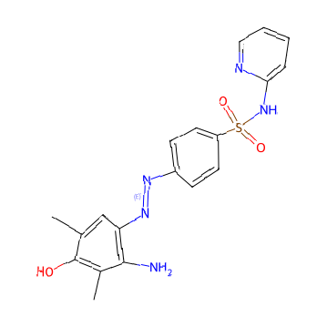 Cc1cc(/N=N/c2ccc(S(=O)(=O)Nc3ccccn3)cc2)c(N)c(C)c1O